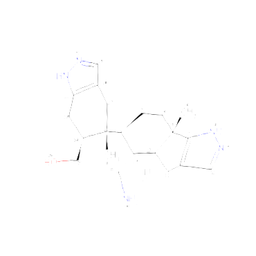 C[C@]1([C@H]2CC[C@]3(C)c4[nH]ncc4C[C@H]3[C@@H]2CN)Cc2cn[nH]c2C[C@@H]1CO